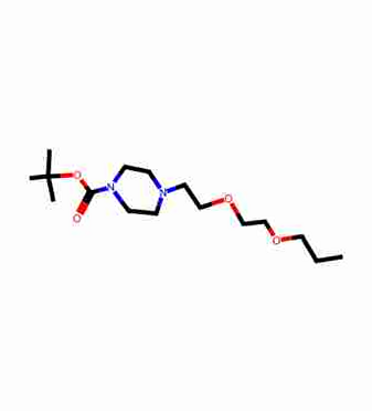 CCCOCCOCCN1CCN(C(=O)OC(C)(C)C)CC1